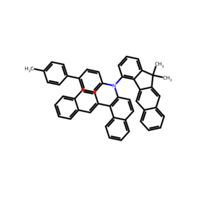 Cc1ccc(-c2ccc(N(c3cccc4c3-c3cc5ccccc5cc3C4(C)C)c3ccc4ccccc4c3-c3ccc4ccccc4c3)cc2)cc1